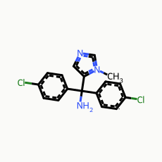 Cn1cncc1C(N)(c1c[c]c(Cl)cc1)c1ccc(Cl)cc1